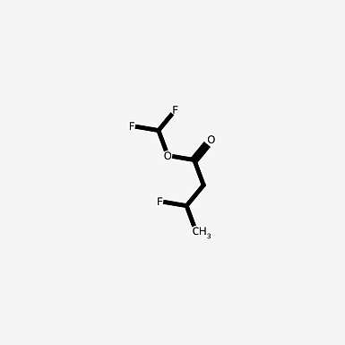 CC(F)CC(=O)OC(F)F